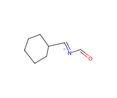 O=C/N=C/C1CCCCC1